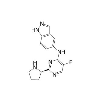 Fc1cnc([C@H]2CCCN2)nc1Nc1ccc2[nH]ncc2c1